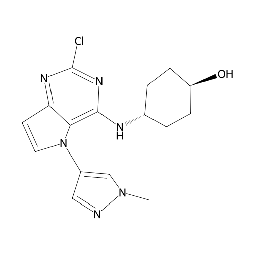 Cn1cc(-n2ccc3nc(Cl)nc(N[C@H]4CC[C@H](O)CC4)c32)cn1